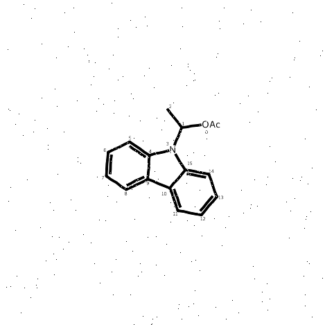 CC(=O)OC(C)n1c2ccccc2c2ccccc21